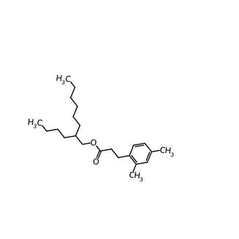 CCCCCCC(CCCC)COC(=O)CCc1ccc(C)cc1C